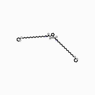 O=C(/C=C/CCCCCCCCCCCCCCCOC1CCCCO1)N[C@H]1CCC[C@H]1NC(=O)/C=C/CCCCCCCCCCCCCCCOC1CCCCO1